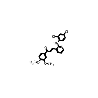 COc1ccc(C(=O)C=Cc2cccnc2Nc2ccc(Cl)cc2Cl)cc1OC